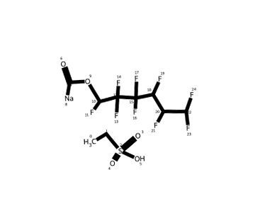 CCS(=O)(=O)O.O=[C]([Na])OC(F)C(F)(F)C(F)(F)C(F)C(F)C(F)F